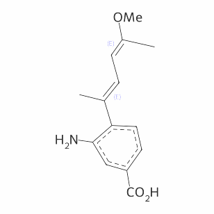 CO/C(C)=C/C=C(\C)c1ccc(C(=O)O)cc1N